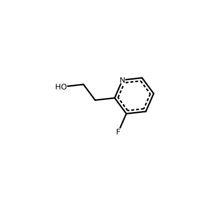 OCCc1ncccc1F